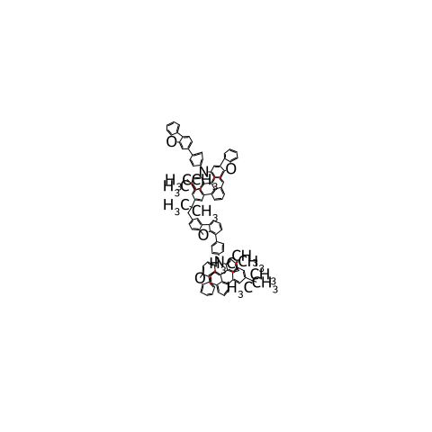 CC(C)(C)c1cc(-c2cccc3cccc(-c4ccccc4N(c4ccc(-c5cccc6c5oc5ccc(CC(C)(C)c7cc(-c8cccc9cccc(-c%10ccccc%10N(c%10ccc(-c%11ccc%12c(c%11)oc%11ccccc%11%12)cc%10)c%10ccc%11oc%12ccccc%12c%11c%10)c89)cc(C(C)(C)C)c7)cc56)cc4)c4ccc5oc6ccccc6c5c4)c23)cc(C(C)(C)C)c1